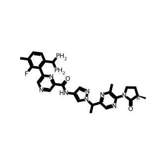 Cc1ccc(C(P)P)c(-c2cncc(C(=O)Nc3cnn(C(C)c4cnc(N5CC[C@@H](C)C5=O)c(C)n4)c3)n2)c1F